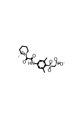 Cc1cc(NC(=O)C(=O)N2CCCC[C@H]2C)cc(C)c1S(=O)(=O)C[N+](=O)[O-]